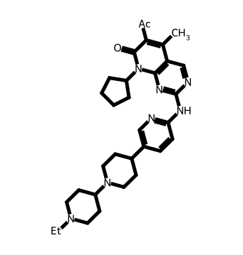 CCN1CCC(N2CCC(c3ccc(Nc4ncc5c(C)c(C(C)=O)c(=O)n(C6CCCC6)c5n4)nc3)CC2)CC1